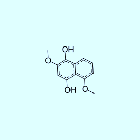 COc1cc(O)c2c(OC)cccc2c1O